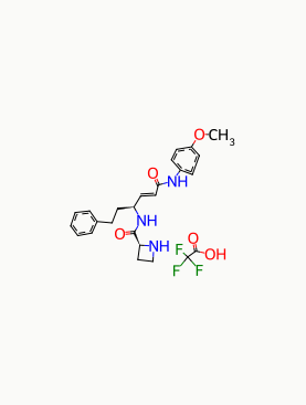 COc1ccc(NC(=O)C=C[C@H](CCc2ccccc2)NC(=O)[C@@H]2CCN2)cc1.O=C(O)C(F)(F)F